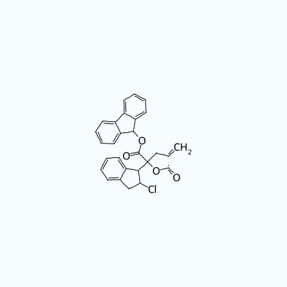 C=CCC(O[C]=O)(C(=O)OC1c2ccccc2-c2ccccc21)C1c2ccccc2CC1Cl